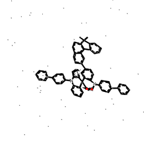 CC1(C)c2ccccc2-c2c1ccc1ccc(-c3ccc4c(c3)C3(c5ccccc5N(c5ccc(-c6ccccc6)cc5)c5ccccc53)c3ccccc3N4c3ccc(-c4ccccc4)cc3)cc21